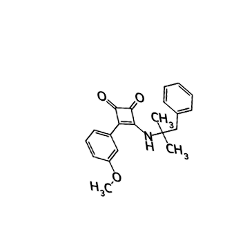 COc1cccc(-c2c(NC(C)(C)Cc3ccccc3)c(=O)c2=O)c1